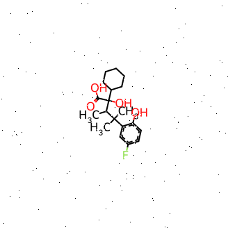 CC(C(C)(C)c1cc(F)ccc1O)C(O)(C(=O)O)C1CCCCC1